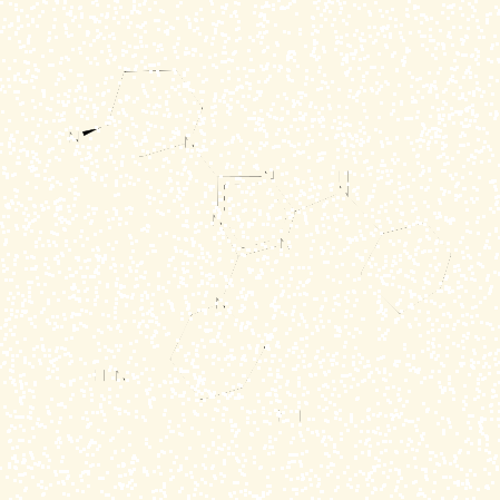 N[C@@H]1C[C@H](N)CN(c2nc(NC3CCCCC3)nc(N3CCC[C@H](N)C3)n2)C1